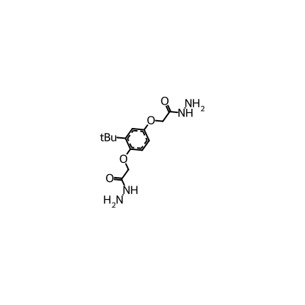 CC(C)(C)c1cc(OCC(=O)NN)ccc1OCC(=O)NN